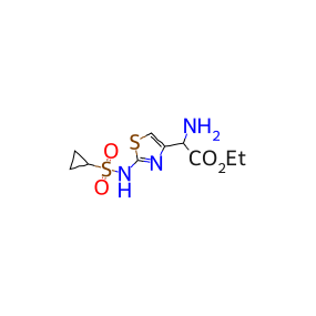 CCOC(=O)C(N)c1csc(NS(=O)(=O)C2CC2)n1